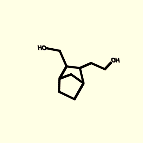 OCCC1C2CCC(C2)C1CO